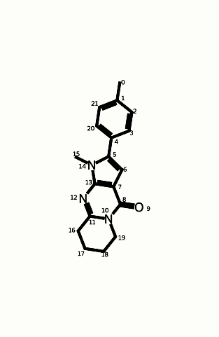 Cc1ccc(-c2cc3c(=O)n4c(nc3n2C)CCCC4)cc1